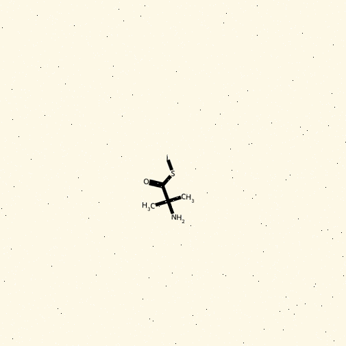 CC(C)(N)C(=O)SI